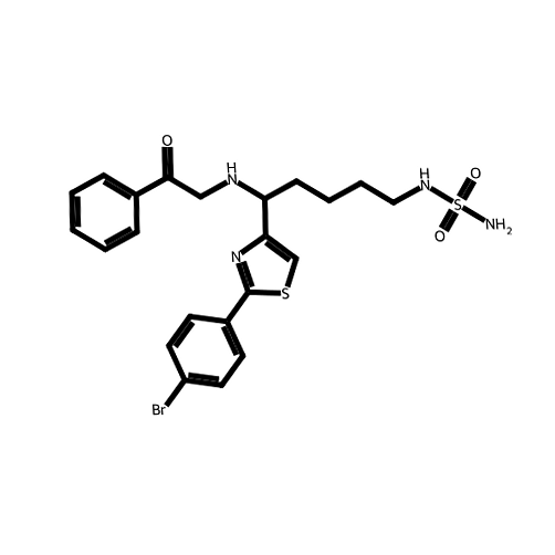 NS(=O)(=O)NCCCCC(NCC(=O)c1ccccc1)c1csc(-c2ccc(Br)cc2)n1